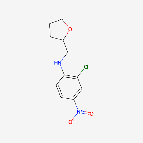 O=[N+]([O-])c1ccc(NCC2CCCO2)c(Cl)c1